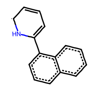 [CH]1C=CC=C(c2cccc3ccccc23)N1